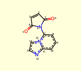 O=C1C=CC(=O)N1c1cccc2nccn12